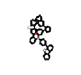 c1cc(-c2ccccc2-c2ccc3ccccc3c2)cc(N(c2ccc(-c3cccc4c3oc3ccccc34)cc2)c2ccccc2-c2ccc3c(c2)oc2ccccc23)c1